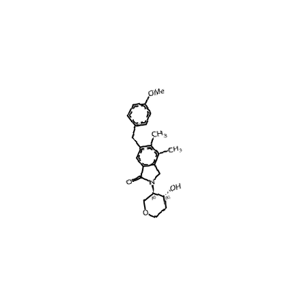 COc1ccc(Cc2cc3c(c(C)c2C)CN([C@@H]2COCC[C@H]2O)C3=O)cc1